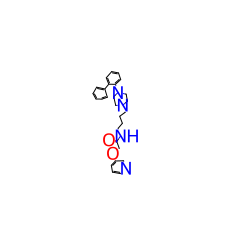 O=C(COc1cccnc1)NCCCCN1CCN(c2ccccc2-c2ccccc2)CC1